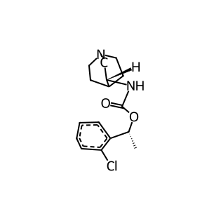 C[C@@H](OC(=O)N[C@H]1CN2CCC1CC2)c1ccccc1Cl